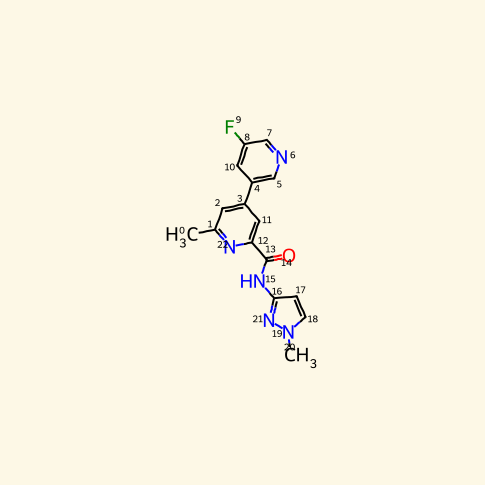 Cc1cc(-c2cncc(F)c2)cc(C(=O)Nc2ccn(C)n2)n1